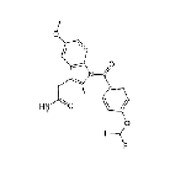 CNC(=O)Cc1c(C)n(C(=O)c2ccc(OC(F)F)cc2)c2ccc(OC)cc12